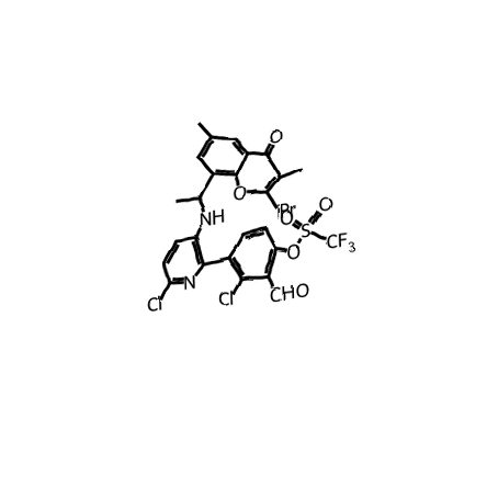 Cc1cc(C(C)Nc2ccc(Cl)nc2-c2ccc(OS(=O)(=O)C(F)(F)F)c(C=O)c2Cl)c2oc(C(C)C)c(C)c(=O)c2c1